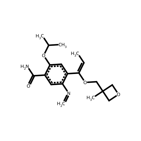 C=Nc1cc(C(N)=O)c(OC(C)C)cc1/C(=C\C)OCC1(C)COC1